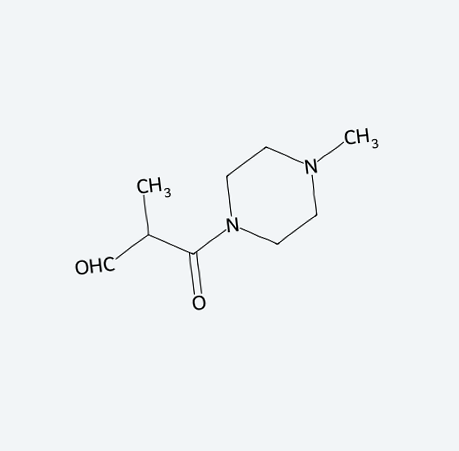 CC(C=O)C(=O)N1CCN(C)CC1